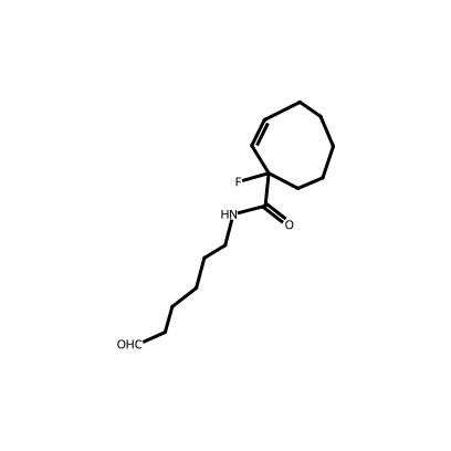 O=CCCCCCNC(=O)C1(F)/C=C\CCCCC1